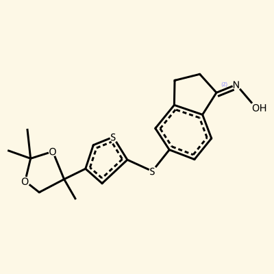 CC1(C)OCC(C)(c2csc(Sc3ccc4c(c3)CC/C4=N/O)c2)O1